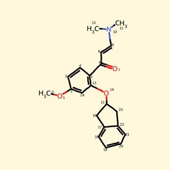 COc1ccc(C(=O)C=CN(C)C)c(OC2Cc3ccccc3C2)c1